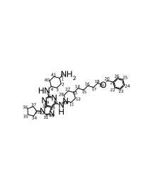 NC1CCC(Nc2nc(NN3CCC(CCCCCOCc4ccccc4)CC3)c3ncn(C4CCCC4)c3n2)CC1